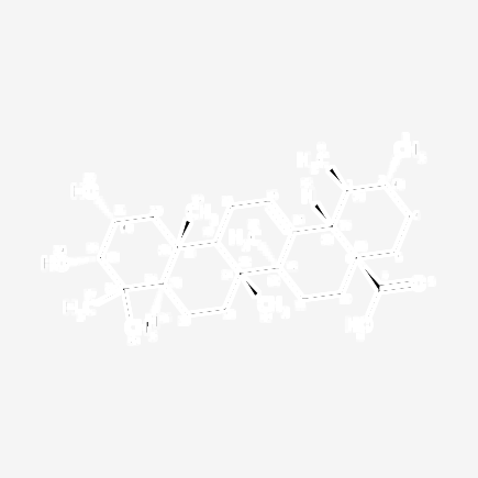 C[C@H]1[C@H](C)CC[C@]2(C(=O)O)CC[C@]3(C)C(=CCC4[C@@]5(C)C[C@@H](O)[C@@H](O)C(C)(C)[C@@H]5CC[C@]43C)[C@H]12